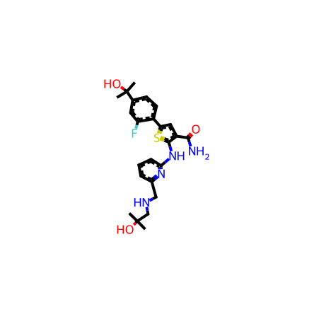 CC(C)(O)CNCc1cccc(Nc2sc(-c3ccc(C(C)(C)O)cc3F)cc2C(N)=O)n1